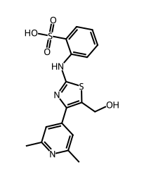 Cc1cc(-c2nc(Nc3ccccc3S(=O)(=O)O)sc2CO)cc(C)n1